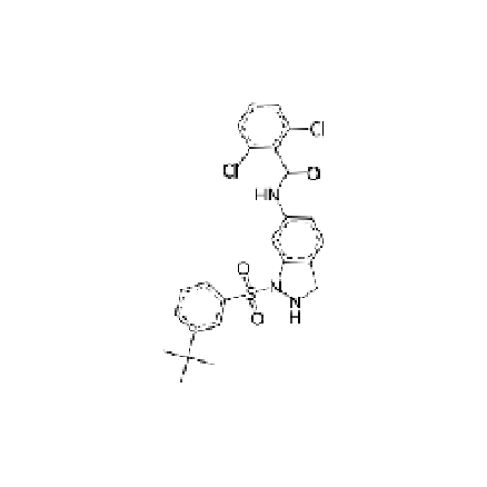 CC(C)(C)c1cccc(S(=O)(=O)N2NCc3ccc(NC(=O)c4c(Cl)cccc4Cl)cc32)c1